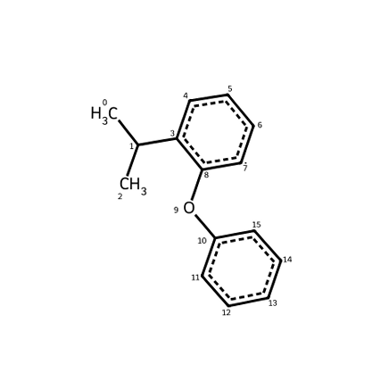 CC(C)c1ccc[c]c1Oc1ccccc1